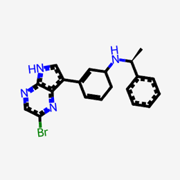 C[C@H](NC1C=C(c2c[nH]c3ncc(Br)nc23)C=CC1)c1ccccc1